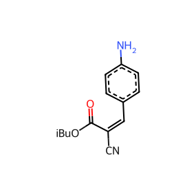 CC(C)COC(=O)C(C#N)=Cc1ccc(N)cc1